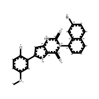 COc1ccc(Cl)c(-c2cc3[nH]c(=O)n(-c4cccc5ccc(Br)cc45)c(=O)c3s2)c1